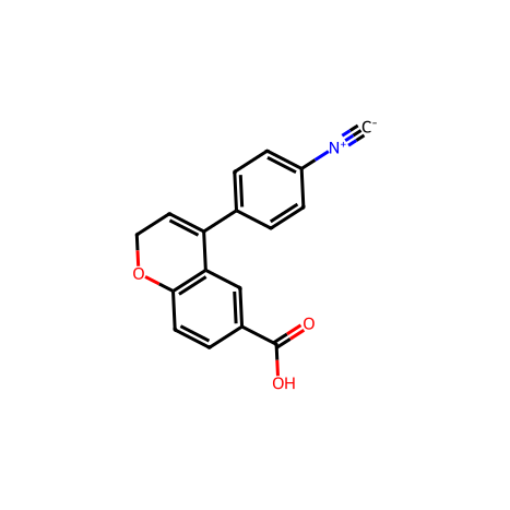 [C-]#[N+]c1ccc(C2=CCOc3ccc(C(=O)O)cc32)cc1